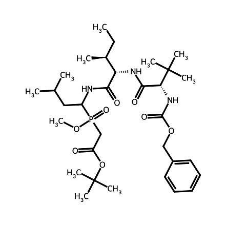 CC[C@H](C)[C@H](NC(=O)[C@@H](NC(=O)OCc1ccccc1)C(C)(C)C)C(=O)NC(CC(C)C)P(=O)(CC(=O)OC(C)(C)C)OC